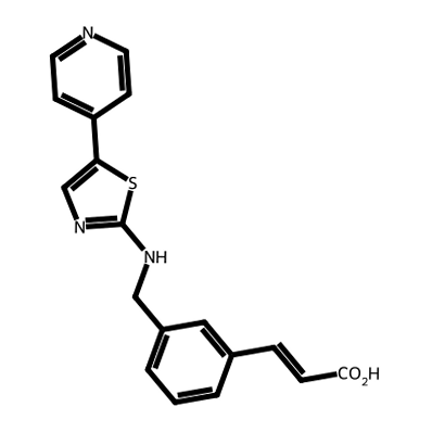 O=C(O)/C=C/c1cccc(CNc2ncc(-c3ccncc3)s2)c1